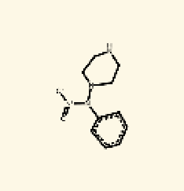 O=[N+]([O-])N(c1ccccc1)N1CCNCC1